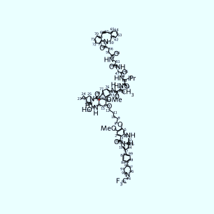 COc1cc2c(cc1OCCCCCOC1CC3NC(O)[C@@H]4CC5(CC5)CN4C(=O)C3(Cc3ccc(NC(=O)[C@H](C)NC(=O)[C@@H](NC(=O)CNC(=O)CNC(=O)CCC(=O)N4Cc5ccccc5C#Cc5ccccc54)C(C)C)cc3)CC1OC)NC[C@@H]1CC(c3ccc(C4CCN(CC(F)(F)F)CC4)cc3)=CN1C2=O